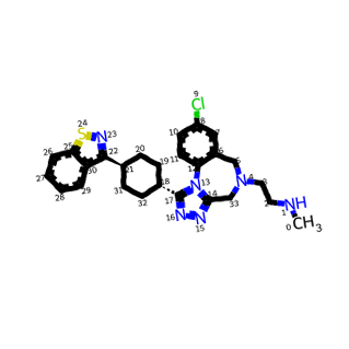 CNCCN1Cc2cc(Cl)ccc2-n2c(nnc2[C@H]2CC[C@H](c3nsc4ccccc43)CC2)C1